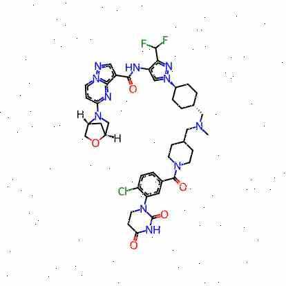 CN(CC1CCN(C(=O)c2ccc(Cl)c(N3CCC(=O)NC3=O)c2)CC1)C[C@H]1CC[C@H](n2cc(NC(=O)c3cnn4ccc(N5C[C@H]6C[C@@H]5CO6)nc34)c(C(F)F)n2)CC1